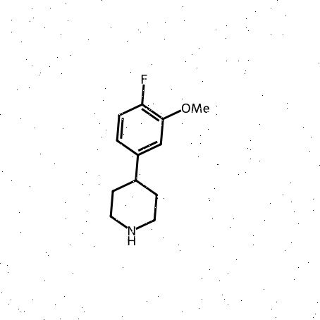 COc1cc(C2CCNCC2)ccc1F